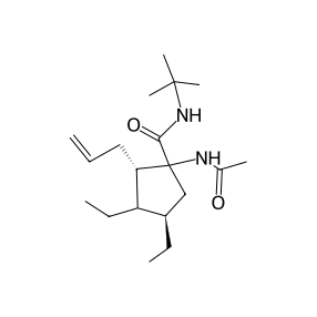 C=CC[C@H]1C(CC)[C@H](CC)CC1(NC(C)=O)C(=O)NC(C)(C)C